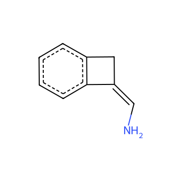 NC=C1Cc2ccccc21